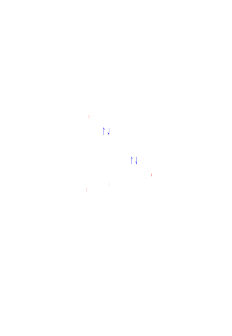 CC(C)c1c(C(=O)c2ccccc2)[n+]([O-])c2ccccc2[n+]1[O-]